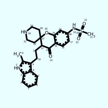 Cc1[nH]c2ccccc2c1CCC1C(=O)c2ccc(NS(C)(=O)=O)cc2OC12CCNCC2